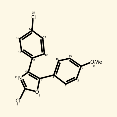 COc1ccc(-c2oc(Cl)nc2-c2ccc(Cl)cc2)cc1